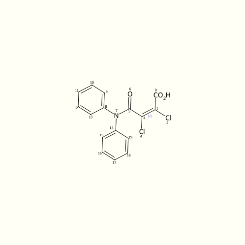 O=C(O)/C(Cl)=C(/Cl)C(=O)N(c1ccccc1)c1ccccc1